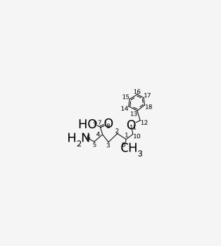 CC(CCC(CN)C(=O)O)COCc1ccccc1